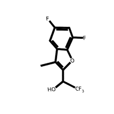 Cc1c(C(O)C(F)(F)F)oc2c(F)cc(F)cc12